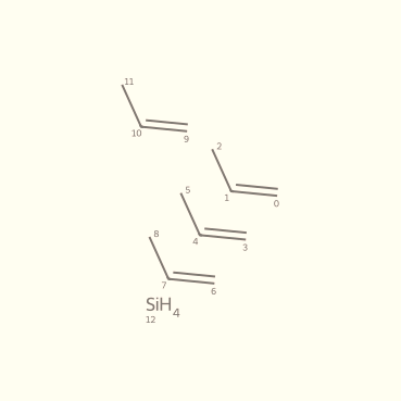 C=CC.C=CC.C=CC.C=CC.[SiH4]